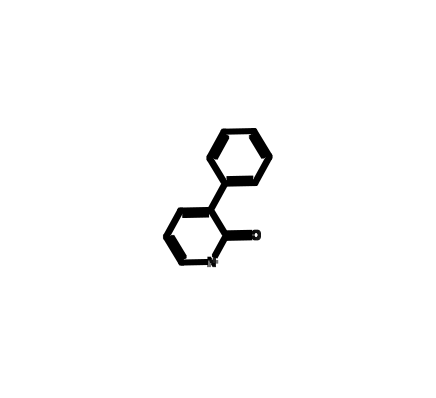 O=C1[N]C=CC=C1c1ccccc1